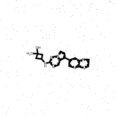 CC1(O)CC(Nc2ncc3c(-c4cnc5nccnc5c4)ccn3n2)C1